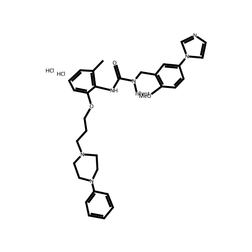 CCCCCN(Cc1cc(-n2ccnc2)ccc1OC)C(=O)Nc1c(C)cccc1OCCCN1CCN(c2ccccc2)CC1.Cl.Cl